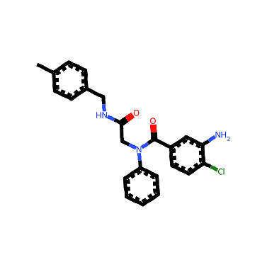 Cc1ccc(CNC(=O)CN(C(=O)c2ccc(Cl)c(N)c2)c2ccccc2)cc1